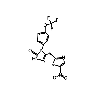 O=c1[nH]nc(Sc2ncc([N+](=O)[O-])s2)n1-c1ccc(OC(F)(F)F)cc1